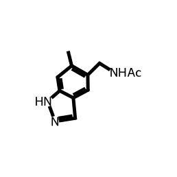 CC(=O)NCc1cc2cn[nH]c2cc1C